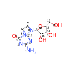 Nc1nc(=O)n2ccn([C@@H]3O[C@H](CO)[C@H](O)[C@H]3O)c2n1